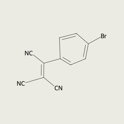 N#CC(C#N)=C(C#N)c1ccc(Br)cc1